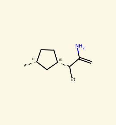 C=C(N)C(CC)[C@H]1CC[C@@H](C)C1